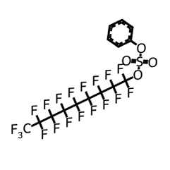 O=S(=O)(Oc1ccccc1)OC(F)(F)C(F)(F)C(F)(F)C(F)(F)C(F)(F)C(F)(F)C(F)(F)C(F)(F)C(F)(F)F